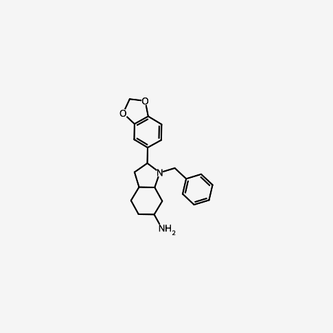 NC1CCC2CC(c3ccc4c(c3)OCO4)N(Cc3ccccc3)C2C1